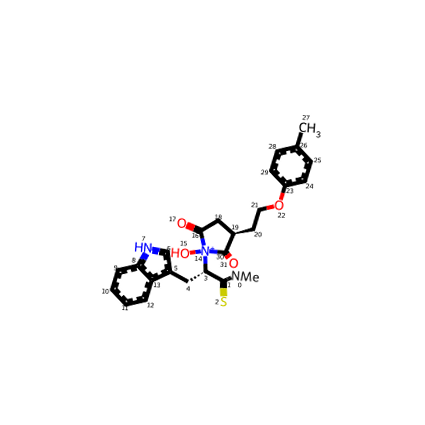 CNC(=S)[C@H](Cc1c[nH]c2ccccc12)[N+]1(O)C(=O)C[C@@H](CCOc2ccc(C)cc2)C1=O